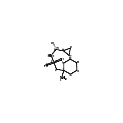 C[C@@H](NS(=O)(=O)CC1(N)CCCCC1)C1CC1